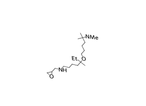 CCC(C)(CCCCNCC1CO1)OCCCCC(C)(C)NC